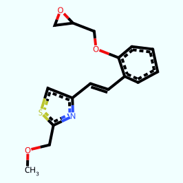 COCc1nc(/C=C/c2ccccc2OCC2CO2)cs1